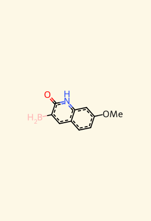 Bc1cc2ccc(OC)cc2[nH]c1=O